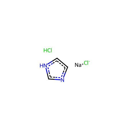 Cl.[Cl-].[Na+].c1c[nH]cn1